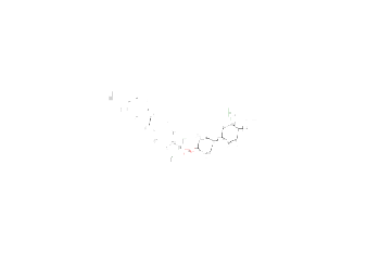 CCCC1CCC(/C=C/C2CCC(C(F)(F)Oc3ccc(-c4ccc(C(F)(F)F)c(F)c4)cc3)CC2)CC1